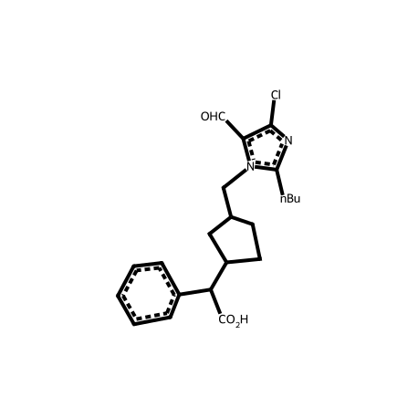 CCCCc1nc(Cl)c(C=O)n1CC1CCC(C(C(=O)O)c2ccccc2)C1